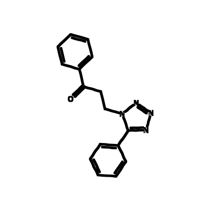 O=C(CCn1nnnc1-c1ccccc1)c1ccccc1